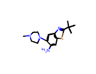 CN1CCN(c2cc3nc(C(C)(C)C)sc3cc2N)CC1